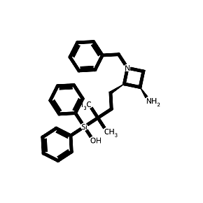 CC(C)(CC[C@@H]1[C@H](N)CN1Cc1ccccc1)[Si](O)(c1ccccc1)c1ccccc1